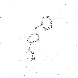 CC(=NO)c1ccc(Oc2ccccc2)cc1